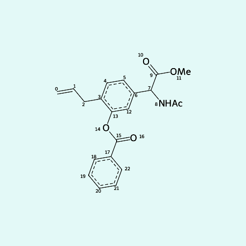 C=CCc1ccc(C(NC(C)=O)C(=O)OC)cc1OC(=O)c1ccccc1